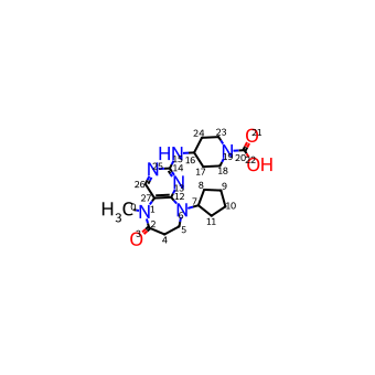 CN1C(=O)CCN(C2CCCC2)c2nc(NC3CCN(C(=O)O)CC3)ncc21